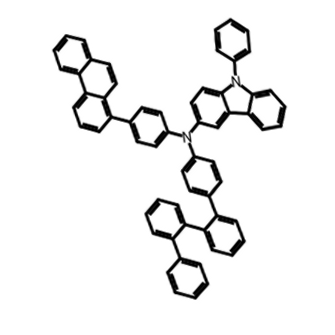 c1ccc(-c2ccccc2-c2ccccc2-c2ccc(N(c3ccc(-c4cccc5c4ccc4ccccc45)cc3)c3ccc4c(c3)c3ccccc3n4-c3ccccc3)cc2)cc1